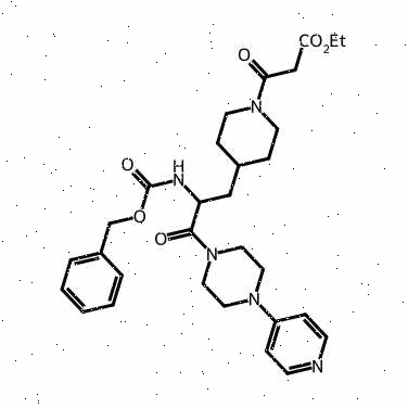 CCOC(=O)CC(=O)N1CCC(CC(NC(=O)OCc2ccccc2)C(=O)N2CCN(c3ccncc3)CC2)CC1